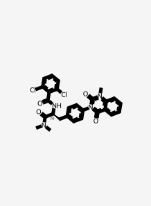 CN(C)C(=O)[C@H](Cc1ccc(-n2c(=O)c3ccccc3n(C)c2=O)cc1)NC(=O)c1c(Cl)cccc1Cl